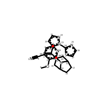 COc1c(C#N)ccnc1N1C2CCC1CN(C(=O)c1ccnn1-c1nccs1)C2